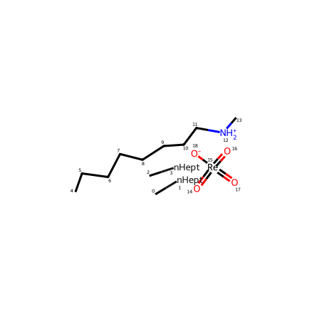 CCCCCCCC.CCCCCCCC.CCCCCCCC[NH2+]C.[O]=[Re](=[O])(=[O])[O-]